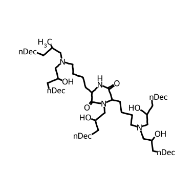 CCCCCCCCCCCC(C)CN(CCCCC1NC(=O)C(CCCCN(CC(O)CCCCCCCCCCC)CC(O)CCCCCCCCCCC)N(CC(O)CCCCCCCCCCC)C1=O)CC(O)CCCCCCCCCCC